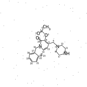 CC(=O)Oc1c(CN2CCNCC2)ccn(Cc2ccccc2F)c1=O